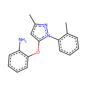 Cc1cc(Oc2ccccc2N)n(-c2ccccc2C)n1